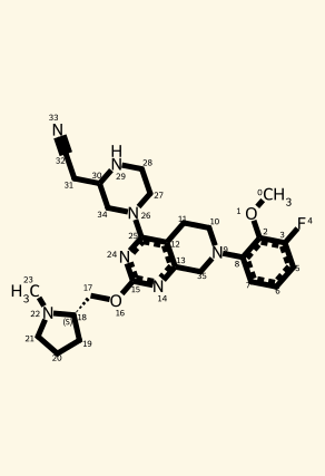 COc1c(F)cccc1N1CCc2c(nc(OC[C@@H]3CCCN3C)nc2N2CCNC(CC#N)C2)C1